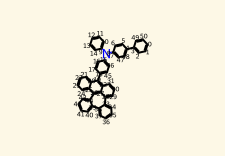 c1ccc(-c2ccc(N(c3ccccc3)c3ccc(-c4c5ccccc5c5c6c(cccc46)-c4ccccc4-c4ccccc4-5)cc3)cc2)cc1